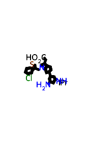 CC(C)Nc1cc(N)cc(-c2ccc3c(CC(=O)O)cn(Cc4csc5ccc(Cl)cc45)c3c2)c1